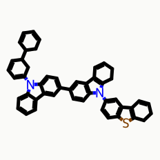 C1=CCC(C2C=CC=C(n3c4ccccc4c4cc(-c5ccc6c(c5)c5c(n6-c6ccc7sc8c(c7c6)C=CCC8)CCC=C5)ccc43)C2)C=C1